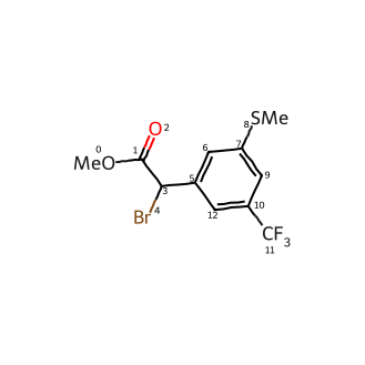 COC(=O)C(Br)c1cc(SC)cc(C(F)(F)F)c1